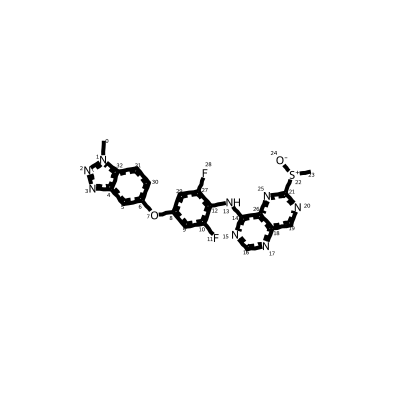 Cn1nnc2cc(Oc3cc(F)c(Nc4ncnc5cnc([S+](C)[O-])nc45)c(F)c3)ccc21